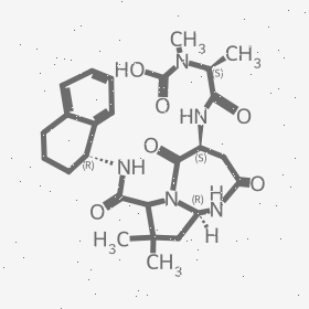 C[C@@H](C(=O)N[C@H]1CC(=O)N[C@H]2CC(C)(C)C(C(=O)N[C@@H]3CCCc4ccccc43)N2C1=O)N(C)C(=O)O